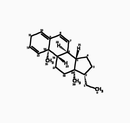 CC[C@H]1CC[C@H]2[C@@H]3C=CC4=CCC=C[C@]4(C)[C@H]3CC[C@]12C